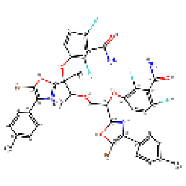 [CH2]CCC(Oc1ccc(F)c(C(N)=O)c1F)(c1nc(-c2ccc(C(F)(F)F)cc2)c(Br)o1)C(OCC(Oc1ccc(F)c(C(N)=O)c1F)c1nc(-c2ccc(C(F)(F)F)cc2)c(Br)o1)C(=O)O